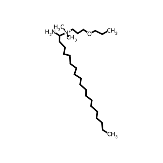 CCCCCCCCCCCCCCCCCCC(N)[N+](C)(C)CCCOCCC